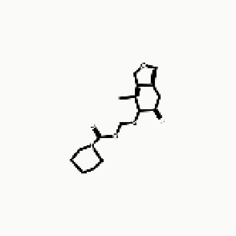 CC1=C2COC=C2CC(=O)C1SCOC(=O)N1CCCCC1